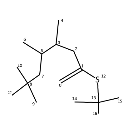 C=C(CC(C)C(C)CC(C)(C)C)SC(C)(C)C